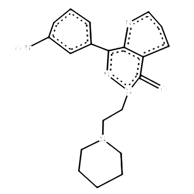 O=c1c2cccnc2c(-c2cccc([N+](=O)[O-])c2)nn1CCN1CCCCC1